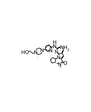 C=C(/N=C1\C(=C/N)C=C(C(=O)N(C)C)N1C1CCCC1)Nc1ccc(N2CCN(CCO)[C@@H](C)C2)cn1